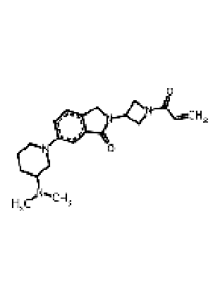 C=CC(=O)N1CC(N2Cc3ccc(N4CCCC(N(C)C)C4)cc3C2=O)C1